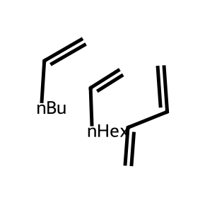 C=CC=C.C=CCCCC.C=CCCCCCC